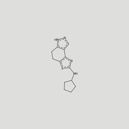 c1n[nH]c2c1-c1nc(NC3CCCC3)sc1CC2